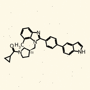 Cc1cccc2nc(-c3ccc(-c4ccc5[nH]ccc5c4)cc3)n(C[C@H]3CCN(C(=O)C4CC4)C3)c12